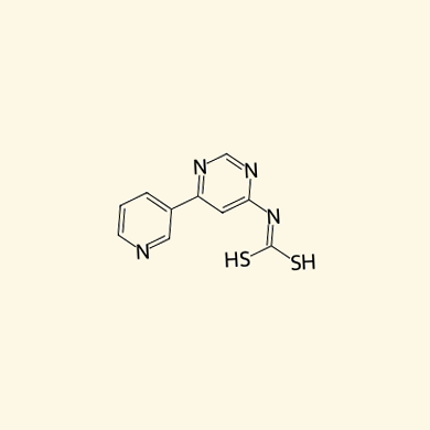 SC(S)=Nc1cc(-c2cccnc2)ncn1